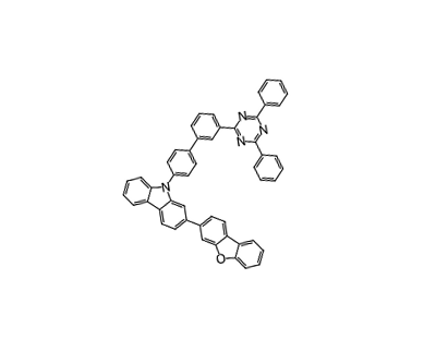 c1ccc(-c2nc(-c3ccccc3)nc(-c3cccc(-c4ccc(-n5c6ccccc6c6ccc(-c7ccc8c(c7)oc7ccccc78)cc65)cc4)c3)n2)cc1